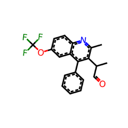 Cc1nc2ccc(OC(F)(F)F)cc2c(-c2ccccc2)c1C(C)C=O